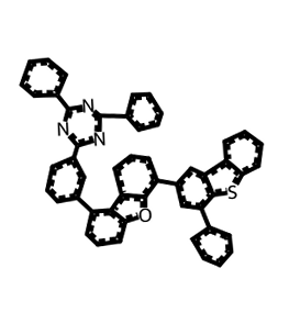 c1ccc(-c2nc(-c3ccccc3)nc(-c3cccc(-c4cccc5oc6c(-c7cc(-c8ccccc8)c8sc9ccccc9c8c7)cccc6c45)c3)n2)cc1